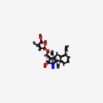 C#Cc1cccc2c1C[C@@H]1/C(=C\OC3C=C(C)C(=O)O3)C(=O)N[C@H]21